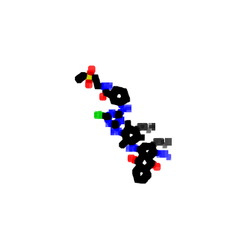 C=CS(=O)(=O)CCNC(=O)c1cccc(Nc2nc(Cl)nc(Nc3c(C)c(Nc4cc(S(=O)(=O)O)c(N)c5c4C(=O)c4ccccc4C5=O)c(C)c(S(=O)(=O)O)c3C)n2)c1